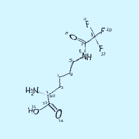 N[C@H](CCCCNC(=O)C(F)(F)F)C(=O)O